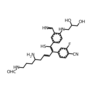 N#Cc1ccc(C(/C=C/CC(N)CCCNC=O)=C(/S)c2ccc(NCC(O)CO)c(C=N)c2)cc1F